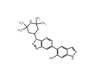 CC1(C)CC(n2nnc3cc(-c4cc5cn[nH]c5cc4O)nnc32)CC(C)(C)N1